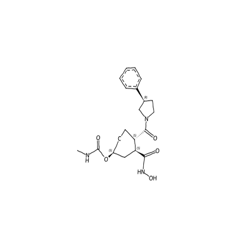 CNC(=O)O[C@H]1CC[C@H](C(=O)N2CC[C@H](c3ccccc3)C2)[C@@H](C(=O)NO)C1